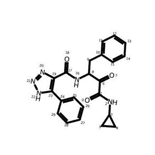 O=C(NC1CC1)C(=O)C(Cc1ccccc1)NC(=O)c1nn[nH]c1-c1ccccc1